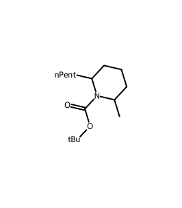 CCCCCC1CCCC(C)N1C(=O)OC(C)(C)C